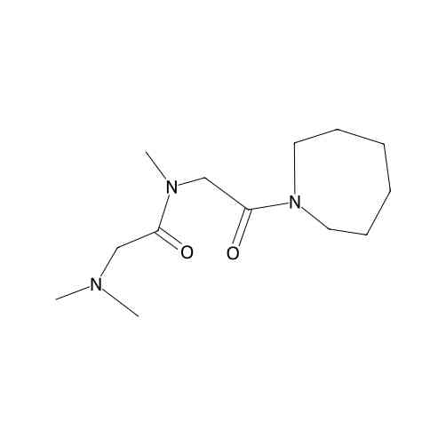 CN(C)CC(=O)N(C)CC(=O)N1CCCCCC1